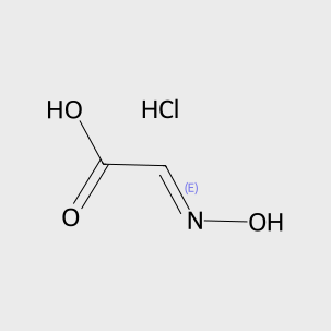 Cl.O=C(O)/C=N/O